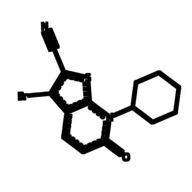 N#Cc1sc2c(ccc(=O)n2C2CCCCC2)c1Br